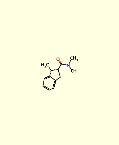 CC1c2ccccc2CC1C(=O)N(C)C